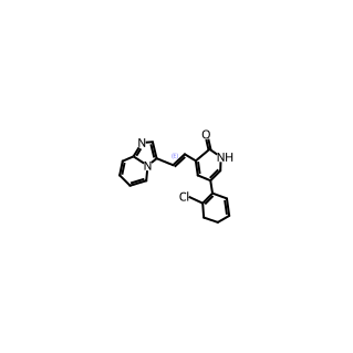 O=c1[nH]cc(C2=C(Cl)CCC=C2)cc1/C=C/c1cnc2ccccn12